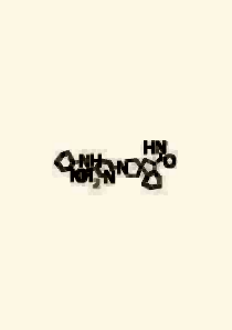 CNC(=O)[C@@H]1CC2(CCN(c3ccc(C(=O)Nc4ccccc4N)cn3)CC2)c2ccccc21